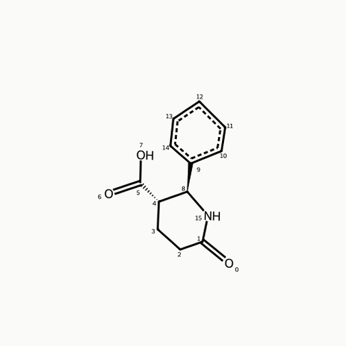 O=C1CC[C@H](C(=O)O)[C@@H](c2ccccc2)N1